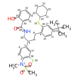 CN(c1ccc(C(CCc2ccc(C(C)(C)C)cc2SC2CCCCC2)CNC(=O)c2ccccc2O)cc1F)S(C)(=O)=O